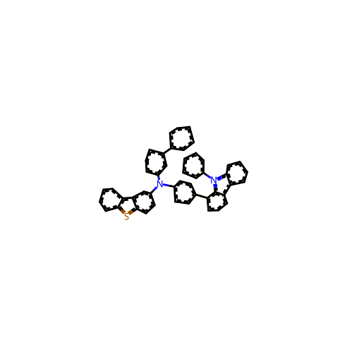 c1ccc(-c2cccc(N(c3ccc(-c4cccc5c6ccccc6n(-c6ccccc6)c45)cc3)c3ccc4sc5ccccc5c4c3)c2)cc1